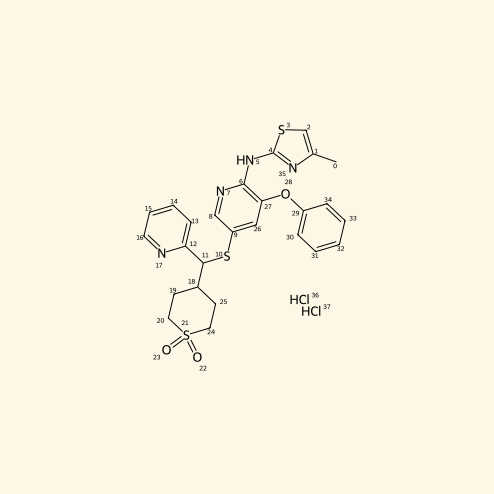 Cc1csc(Nc2ncc(SC(c3ccccn3)C3CCS(=O)(=O)CC3)cc2Oc2ccccc2)n1.Cl.Cl